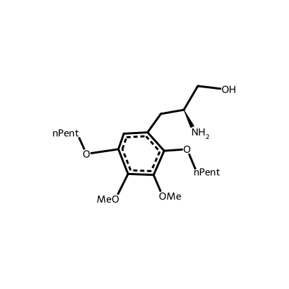 CCCCCOc1cc(C[C@H](N)CO)c(OCCCCC)c(OC)c1OC